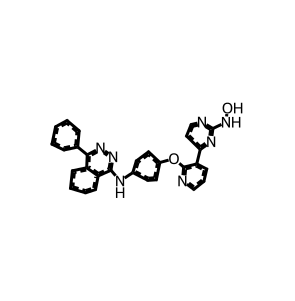 ONc1nccc(-c2cccnc2Oc2ccc(Nc3nnc(-c4ccccc4)c4ccccc34)cc2)n1